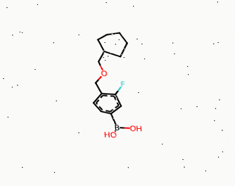 OB(O)c1ccc(COCC2CCCCC2)c(F)c1